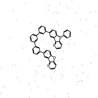 c1ccc(-n2c3ccc(-c4cccc(-c5cccc(-c6cccc(-c7ccc8oc9cccnc9c8c7)c6)c5)c4)cc3c3ncccc32)cc1